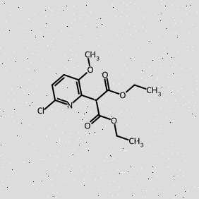 CCOC(=O)C(C(=O)OCC)c1nc(Cl)ccc1OC